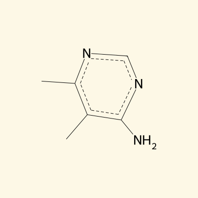 Cc1ncnc(N)c1C